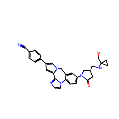 N#Cc1ccc(-c2cc3n(c2)Cc2cc(N4C[C@@H](CNC5(CO)CC5)CC4=O)ccc2-n2ccnc2-3)cc1